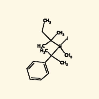 CCC(C)(C)[Si](C)(I)C(C)(C)c1ccccc1